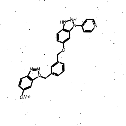 COc1ccc2nnn(Cc3cccc(COc4ccc5c(c4)N(c4ccncc4)NN5)c3)c2c1